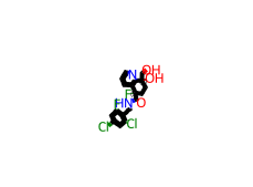 O=C(NCc1c(F)cc(Cl)cc1Cl)[C@]1(F)CC[C@@](O)(CO)c2ncccc21